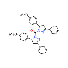 COc1ccc(C2CC(c3ccccc3)=NN2C(=O)N2N=C(c3ccccc3)CC2c2ccc(OC)cc2)cc1